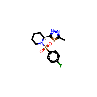 Cc1nnc([C@@H]2CCCCN2S(=O)(=O)c2ccc(F)cc2)s1